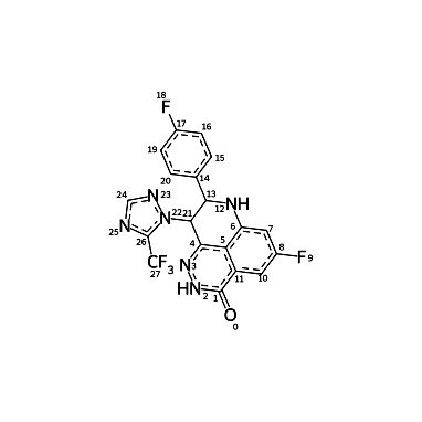 O=c1[nH]nc2c3c(cc(F)cc13)NC(c1ccc(F)cc1)C2n1ncnc1C(F)(F)F